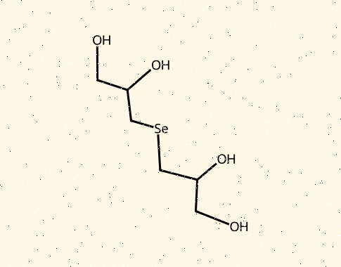 OCC(O)C[Se]CC(O)CO